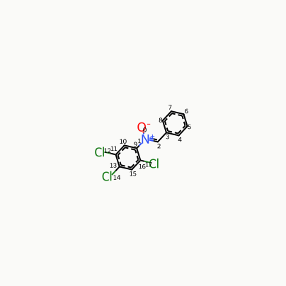 [O-][N+](=Cc1ccccc1)c1cc(Cl)c(Cl)cc1Cl